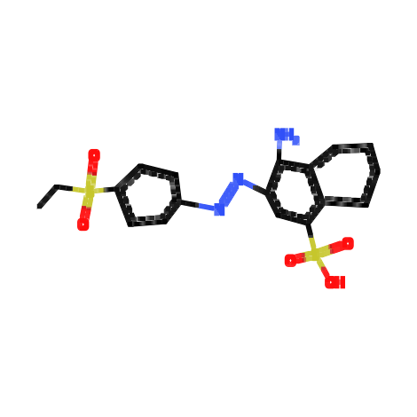 CCS(=O)(=O)c1ccc(/N=N/c2cc(S(=O)(=O)O)c3ccccc3c2N)cc1